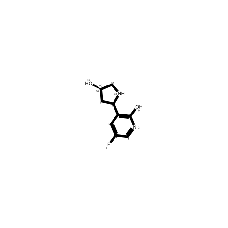 Oc1ncc(F)cc1C1C[C@@H](O)CN1